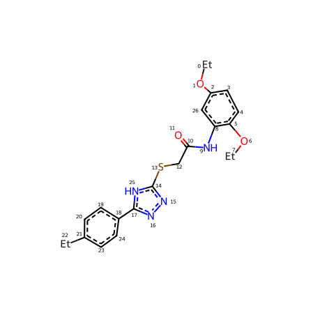 CCOc1ccc(OCC)c(NC(=O)CSc2nnc(-c3ccc(CC)cc3)[nH]2)c1